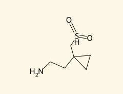 NCCC1(C[SH](=O)=O)CC1